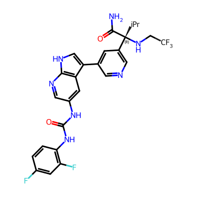 CC(C)[C@](NCC(F)(F)F)(C(N)=O)c1cncc(-c2c[nH]c3ncc(NC(=O)Nc4ccc(F)cc4F)cc23)c1